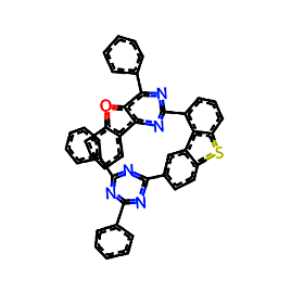 c1ccc(-c2nc(-c3ccccc3)nc(-c3ccc4sc5cccc(-c6nc(-c7ccccc7)c7oc8ccccc8c7n6)c5c4c3)n2)cc1